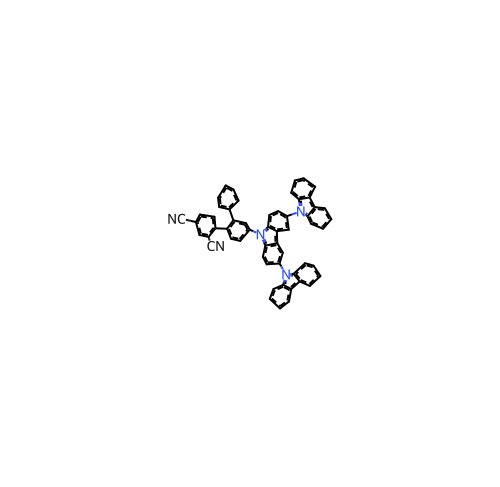 N#Cc1ccc(-c2ccc(-n3c4ccc(-n5c6ccccc6c6ccccc65)cc4c4cc(-n5c6ccccc6c6ccccc65)ccc43)cc2-c2ccccc2)c(C#N)c1